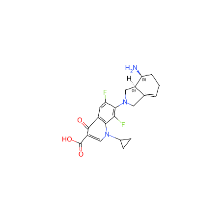 N[C@H]1CCC=C2CN(c3c(F)cc4c(=O)c(C(=O)O)cn(C5CC5)c4c3F)C[C@H]21